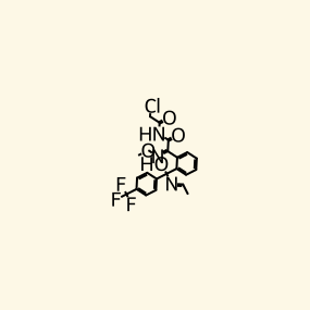 CC=NC(O)(c1ccc(C(F)(F)F)cc1)c1ccccc1C(=NOC)C(=O)NC(=O)CCl